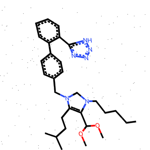 CCCCCN1CN(Cc2ccc(-c3ccccc3-c3nnn[nH]3)cc2)C(CCC(C)C)=C1C(OC)OC